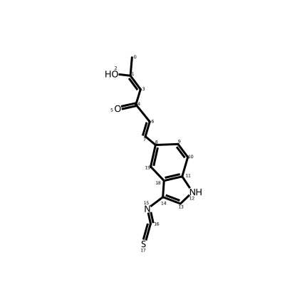 C/C(O)=C/C(=O)/C=C/c1ccc2[nH]cc(N=C=S)c2c1